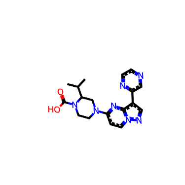 CC(C)C1CN(c2ccn3ncc(-c4cnccn4)c3n2)CCN1C(=O)O